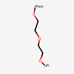 [CH2]CCOCCOCCOCCCCC